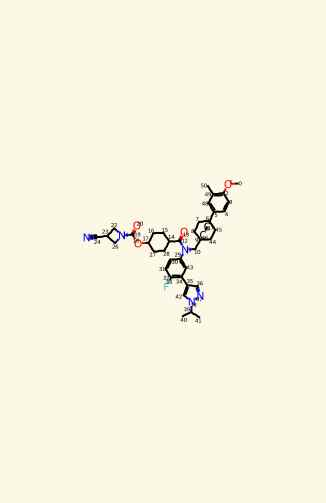 COc1ccc(C23CCC(CN(C(=O)C4CCC(OC(=O)N5CC(C#N)C5)CC4)c4ccc(F)c(-c5cnn(C(C)C)c5)c4)(CC2)CC3)cc1C